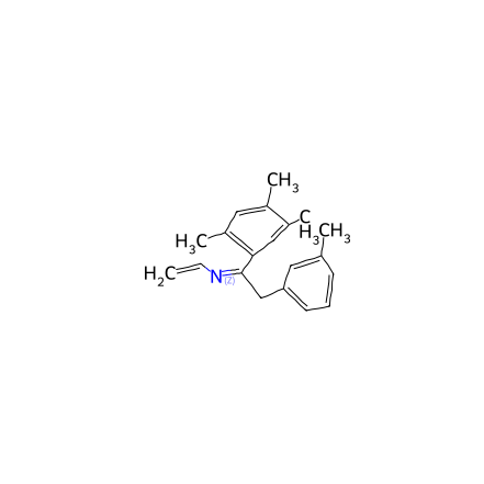 C=C/N=C(/Cc1cccc(C)c1)c1cc(C)c(C)cc1C